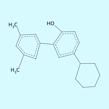 Cc1cc(C)cc(-c2cc(C3CCCCC3)ccc2O)c1